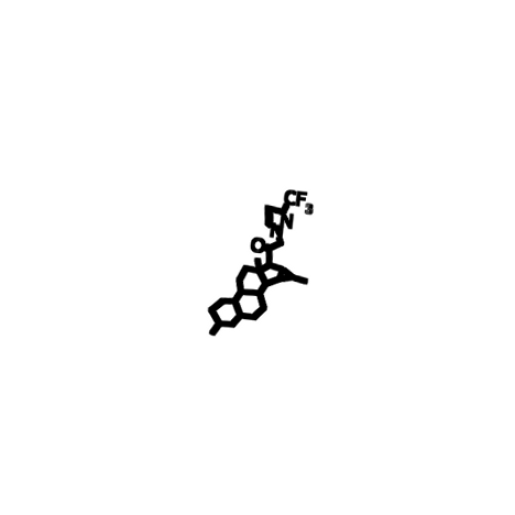 CC1CCC2C(CCC3C2CCC2(C)C(C(=O)Cn4ccc(C(F)(F)F)n4)C4C(C)C4C32)C1